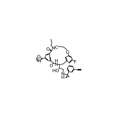 C#Cc1cccc(C2(NCC(O)C3Cc4cc(F)cc(c4)OCCCCN(CCC)C(=O)c4cc(cc(-c5ncco5)c4)C(=O)N3)CC2)c1